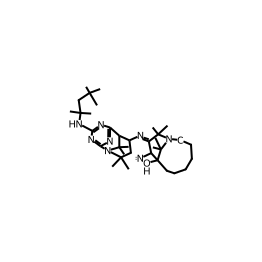 CC(C)(C)CC(C)(C)Nc1nc2nc(n1)N1C(C)(C)CC(N=C3C([N])C4(O)CCCCCCN(C3(C)C)C4(C)C)C2C1(C)C